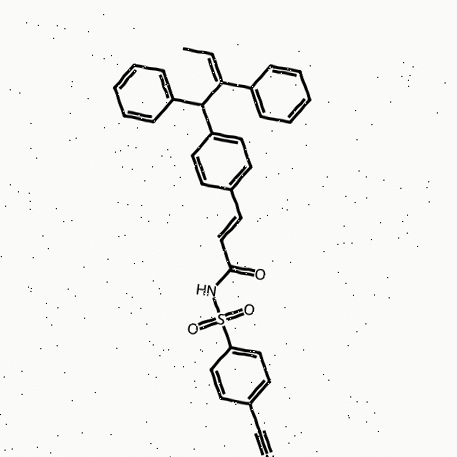 CC=C(c1ccccc1)C(c1ccccc1)c1ccc(C=CC(=O)NS(=O)(=O)c2ccc(C#N)cc2)cc1